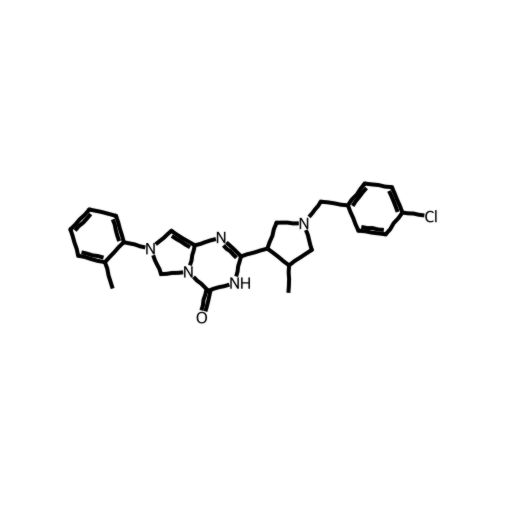 Cc1ccccc1N1C=C2N=C(C3CN(Cc4ccc(Cl)cc4)CC3C)NC(=O)N2C1